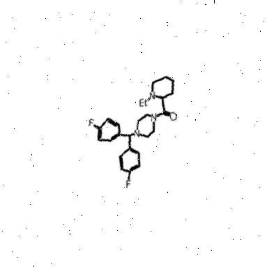 CCN1CCCCC1C(=O)N1CCN(C(c2ccc(F)cc2)c2ccc(F)cc2)CC1